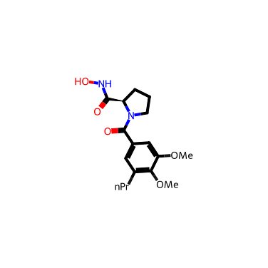 CCCc1cc(C(=O)N2CCC[C@@H]2C(=O)NO)cc(OC)c1OC